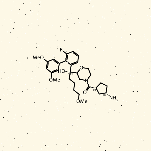 COCCCC[C@@](O)(c1cccc(F)c1-c1cc(OC)cc(OC)c1)C1CN(C(=O)[C@@H]2CC[C@H](N)C2)CCO1